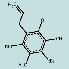 C=CCc1c(O)c(C)c(C(C)(C)C)c(OC(C)=O)c1C(C)(C)C